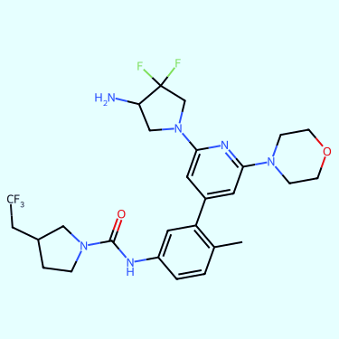 Cc1ccc(NC(=O)N2CCC(CC(F)(F)F)C2)cc1-c1cc(N2CCOCC2)nc(N2CC(N)C(F)(F)C2)c1